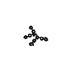 c1ccc(-c2ccc(-c3nn(Cc4cc(-c5ccc(-c6ccccn6)cc5)cc(-c5ccc(-c6ccccn6)cc5)c4)c4ccc(-c5ccccc5)cc34)cc2)cc1